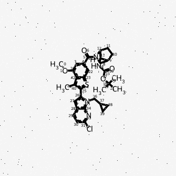 COc1cc(C(=O)N2CC3CCC2[C@@H]3NC(=O)OC(C)(C)C)cc2sc(-c3cc4ccc(Cl)nc4n3CC3CC3)c(C)c12